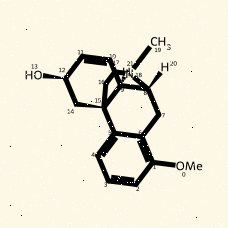 COc1cccc2c1C[C@@H]1[C@@H]3C=C[C@H](O)C[C@]23CCN1C